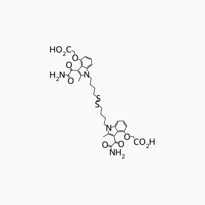 Cc1c(C(=O)C(N)=O)c2c(OCC(=O)O)cccc2n1CCCCSSCCCCn1c(C)c(C(=O)C(N)=O)c2c(OCC(=O)O)cccc21